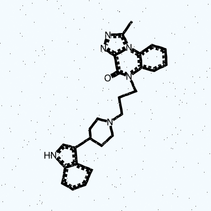 Cc1nnc2c(=O)n(CCCN3CCC(c4c[nH]c5ccccc45)CC3)c3ccccc3n12